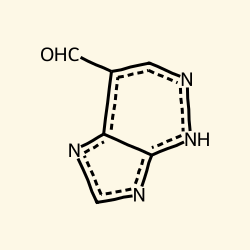 O=Cc1cn[nH]c2ncnc1-2